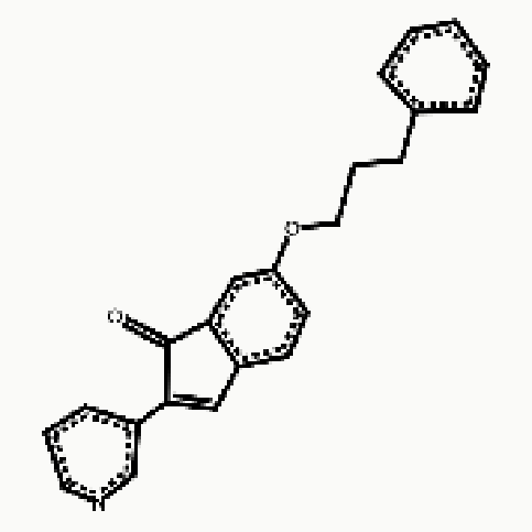 O=C1C(c2cccnc2)=Cc2ccc(OCCCc3ccccc3)cc21